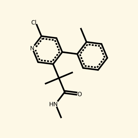 CNC(=O)C(C)(C)c1cnc(Cl)cc1-c1ccccc1C